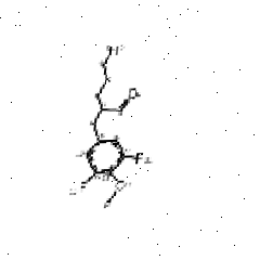 [3H]CCCC(C=O)Cc1cc(F)c(OC)c(F)c1